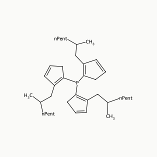 CCCCCC(C)CC1=C(P(C2=C(CC(C)CCCCC)C=CC2)C2=C(CC(C)CCCCC)C=CC2)CC=C1